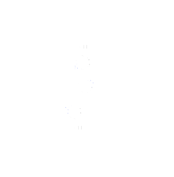 Cc1ccc(-c2ccc(Cc3cncc(C)c3)c(C)n2)nc1